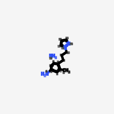 Cc1cc(N)ccc1CCCn1cccn1.N